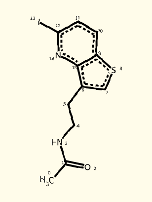 CC(=O)NCCc1csc2ccc(I)nc12